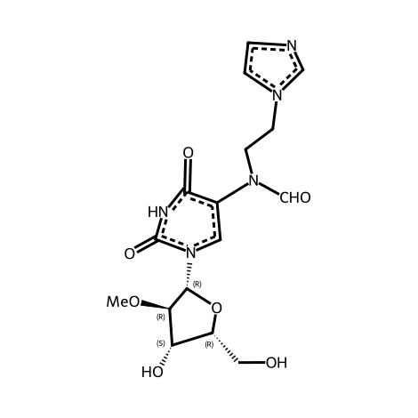 CO[C@@H]1[C@@H](O)[C@@H](CO)O[C@H]1n1cc(N(C=O)CCn2ccnc2)c(=O)[nH]c1=O